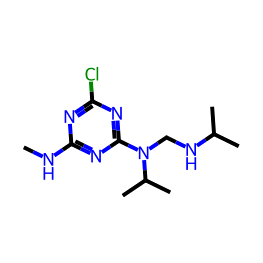 CNc1nc(Cl)nc(N(CNC(C)C)C(C)C)n1